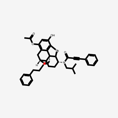 CC(=O)Oc1cc(O)c2c3c1C[C@@H]1[C@@H]4CC[C@@H](N(CC(C)C)C(=O)C#Cc5ccccc5)[C@H](O2)[C@]34CCN1CCc1ccccc1